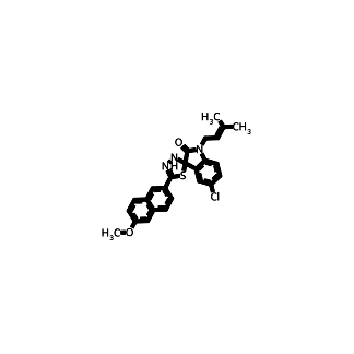 COc1ccc2cc(C3=NNC4(S3)C(=O)N(CC=C(C)C)c3ccc(Cl)cc34)ccc2c1